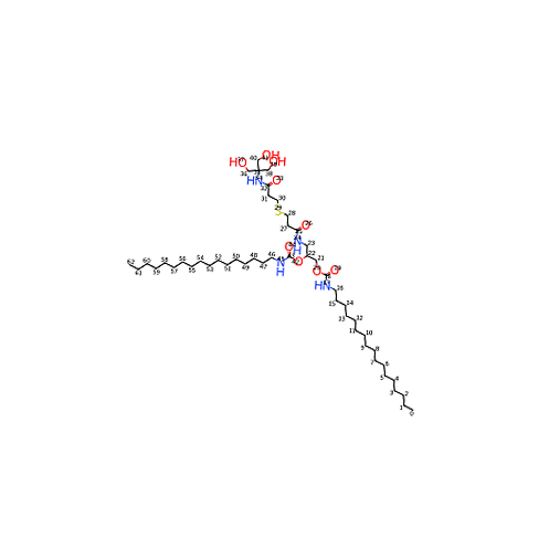 CCCCCCCCCCCCCCCCCNC(=O)OCC(CNC(=O)CCSCCC(=O)NC(CO)(CO)CO)OC(=O)NCCCCCCCCCCCCCCCCC